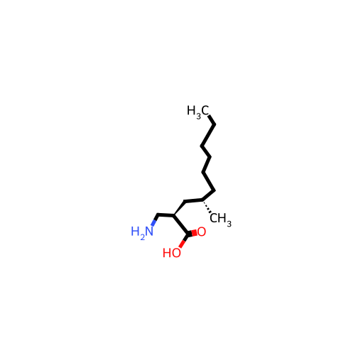 CCCCCC[C@H](C)C[C@H](CN)C(=O)O